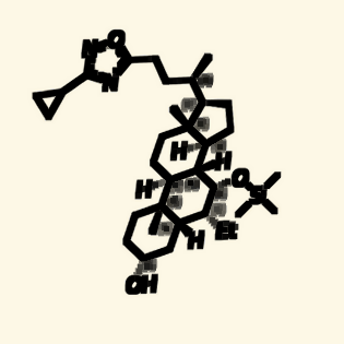 CC[C@H]1[C@@H](O[Si](C)(C)C)[C@@H]2[C@H](CC[C@]3(C)[C@@H]([C@H](C)CCc4nc(C5CC5)no4)CC[C@@H]23)[C@@]2(C)CC[C@@H](O)C[C@@H]12